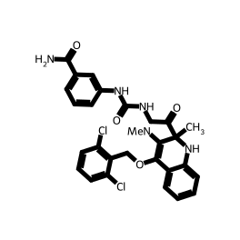 CNC1=C(OCc2c(Cl)cccc2Cl)c2ccccc2NC1(C)C(=O)CNC(=O)Nc1cccc(C(N)=O)c1